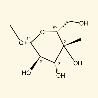 CO[C@@H]1O[C@H](CO)[C@](C)(O)[C@H](O)[C@H]1O